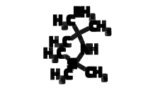 B.CC(C)(C)N[Si](C)(C)C